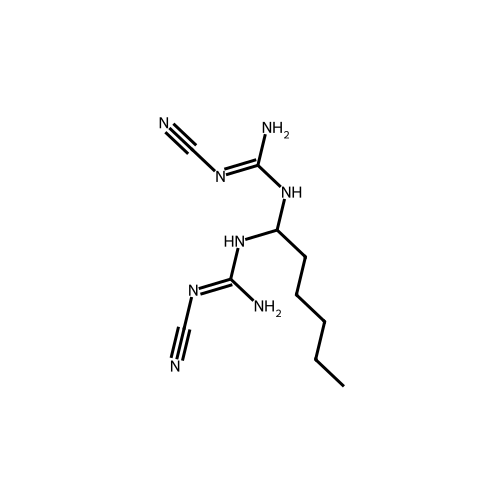 CCCCCC(NC(N)=NC#N)NC(N)=NC#N